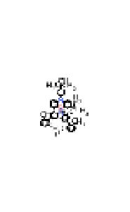 Cc1cccc(C)c1-c1ccc2c(c1)c1cc(-c3c(C)cccc3C)cc3c1n2B1c2cc(C(C)(C)C)ccc2N(c2ccc(C(C)(C)C)cc2)c2cccc-3c21